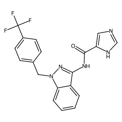 O=C(Nc1nn(Cc2ccc(C(F)(F)F)cc2)c2ccccc12)c1cnc[nH]1